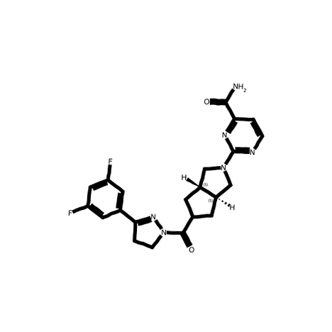 NC(=O)c1ccnc(N2C[C@H]3CC(C(=O)N4CCC(c5cc(F)cc(F)c5)=N4)C[C@@H]3C2)n1